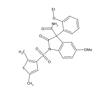 CCOc1ccccc1C1(C(N)=O)C(=O)N(S(=O)(=O)c2cc(C)sc2C)c2ccc(OC)cc21